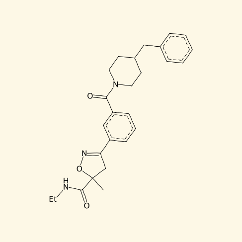 CCNC(=O)C1(C)CC(c2cccc(C(=O)N3CCC(Cc4ccccc4)CC3)c2)=NO1